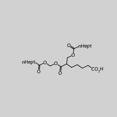 CCCCCCCC(=O)OCOC(=O)C(CCCCC(=O)O)COC(=O)CCCCCCC